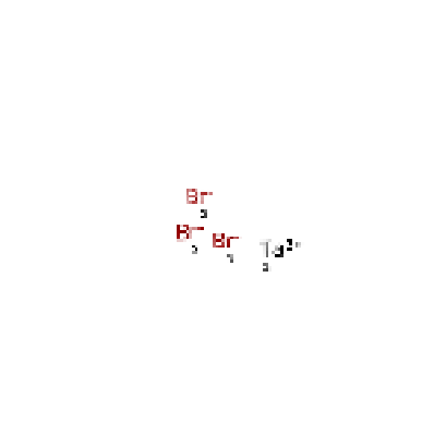 [Br-].[Br-].[Br-].[Ta+3]